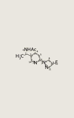 CC(=O)N[C@@H](C)c1ccc(-n2cc(F)cn2)nc1